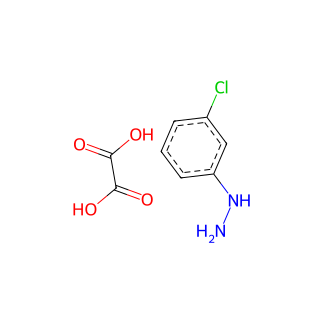 NNc1cccc(Cl)c1.O=C(O)C(=O)O